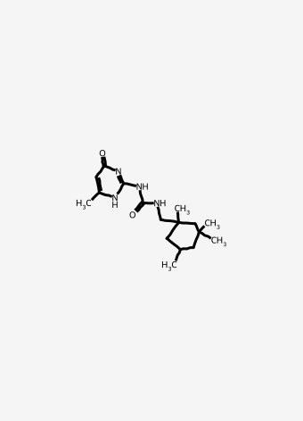 Cc1cc(=O)nc(NC(=O)NCC2(C)CC(C)CC(C)(C)C2)[nH]1